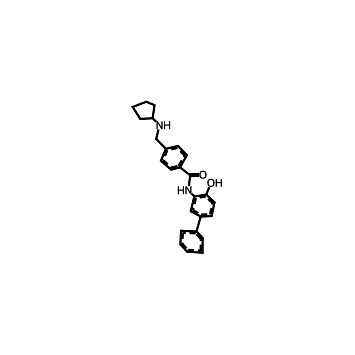 O=C(Nc1cc(-c2ccccc2)ccc1O)c1ccc(CNC2CCCC2)cc1